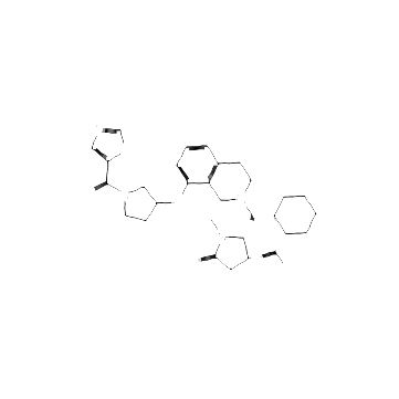 O=C(O)[C@H]1CCCC[C@H]1C(=O)N1CCc2cccc(OC3CCN(C(=O)c4cncs4)C3)c2[C@H]1CN1CCCC1=O